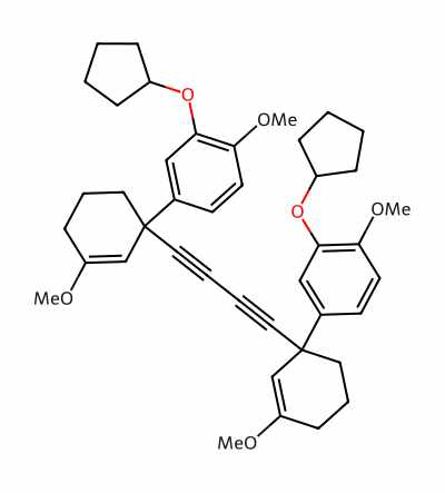 COC1=CC(C#CC#CC2(c3ccc(OC)c(OC4CCCC4)c3)C=C(OC)CCC2)(c2ccc(OC)c(OC3CCCC3)c2)CCC1